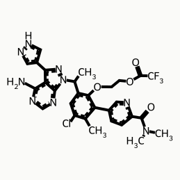 Cc1c(Cl)cc(C(C)n2nc(-c3cn[nH]c3)c3c(N)ncnc32)c(OCCOC(=O)C(F)(F)F)c1-c1ccc(C(=O)N(C)C)nc1